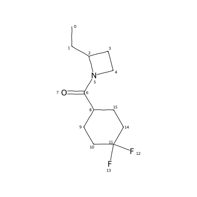 CCC1CCN1C(=O)C1CCC(F)(F)CC1